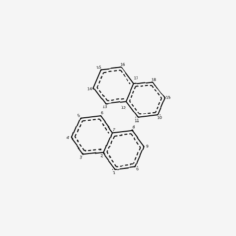 [c]1[c]c2ccccc2cc1.[c]1[c]c2ccccc2cc1